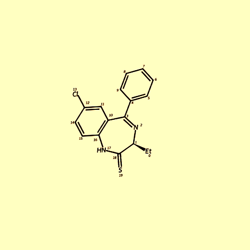 CC[C@@H]1N=C(c2ccccc2)c2cc(Cl)ccc2NC1=S